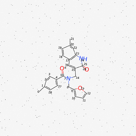 Cc1ccc(C(=O)N(Cc2ccco2)Cc2cc3ccc(C)cc3[nH]c2=O)cc1